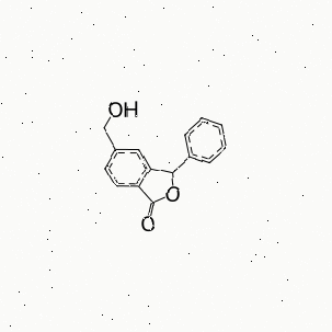 O=C1OC(c2ccccc2)c2cc(CO)ccc21